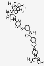 COC(C)N1CCN(C2Cc3ccc(C(=O)Nc4cccc(Sc5cnc(N6CCC(C)(NC(=O)OC(C)(C)C)CC6)cn5)c4)cc3C2)CC1